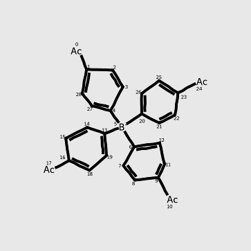 CC(=O)c1ccc([B-](c2ccc(C(C)=O)cc2)(c2ccc(C(C)=O)cc2)c2ccc(C(C)=O)cc2)cc1